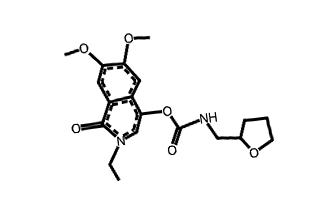 CCn1cc(OC(=O)NCC2CCCO2)c2cc(OC)c(OC)cc2c1=O